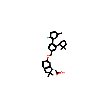 Cc1ccc(F)c(-c2ccc(COc3ccc4c(c3)[C@H](CC(=O)O)C(C)(C)C4)cc2C2=CCCC2(C)C)c1